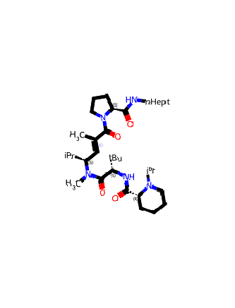 CCCCCCCNC(=O)[C@@H]1CCCN1C(=O)/C(C)=C/[C@H](C(C)C)N(C)C(=O)[C@@H](NC(=O)[C@H]1CCCCN1C(C)C)C(C)(C)C